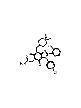 NC(=O)Cn1c(=O)c2c(nc(-c3ncccc3Cl)n2-c2ccc(Cl)cc2)n(CC2CCS(=O)(=O)CC2)c1=O